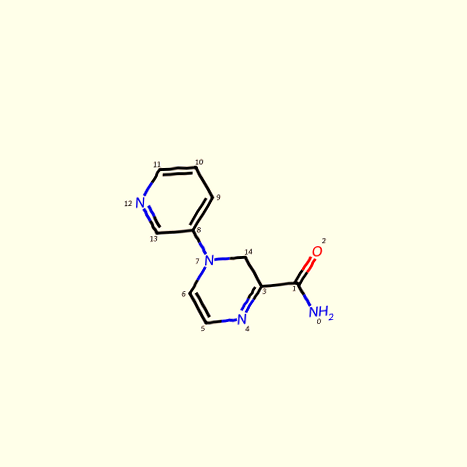 NC(=O)C1=NC=CN(c2cccnc2)C1